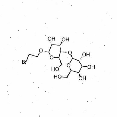 OC[C@H]1O[C@@H](O[C@H]2[C@H](O)[C@@H](O)[C@@H](OCCBr)O[C@@H]2CO)[C@H](O)[C@@H](O)[C@H]1O